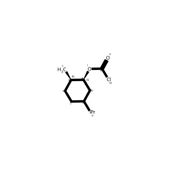 CC(C)C1CC[C@@H](C)[C@@H](OC(=O)Cl)C1